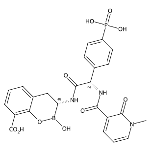 Cn1cccc(C(=O)N[C@H](C(=O)N[C@H]2Cc3cccc(C(=O)O)c3OB2O)c2ccc(P(=O)(O)O)cc2)c1=O